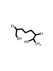 CCC(CO)CCCC(CC)C(C)O